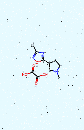 CCc1noc(C2CCN(C)C2)n1.O=C(O)C(=O)O